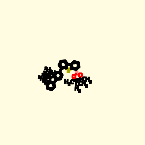 [2H]C([2H])([2H])C1(C([2H])([2H])[2H])c2ccccc2-c2ccc(-c3cccc4c3sc3c(B5OC(C)(C)C(C)(C)O5)cccc34)cc21